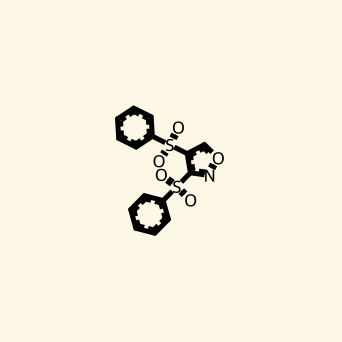 O=S(=O)(c1ccccc1)c1conc1S(=O)(=O)c1ccccc1